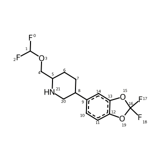 FC(F)OCC1CCC(c2ccc3c(c2)OC(F)(F)O3)CN1